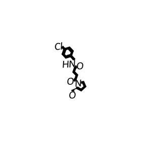 O=C[C@@H]1CCCN1C(=O)CCC(=O)NCc1ccc(Cl)cc1